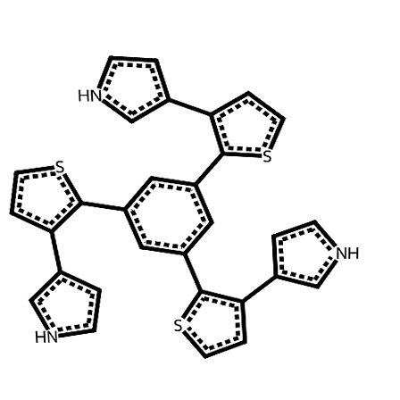 c1cc(-c2ccsc2-c2cc(-c3sccc3-c3cc[nH]c3)cc(-c3sccc3-c3cc[nH]c3)c2)c[nH]1